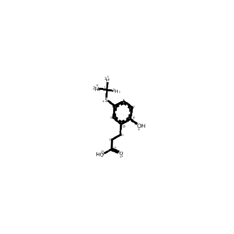 [2H]C([2H])([2H])Sc1ccc(O)c(CCC(=O)O)c1